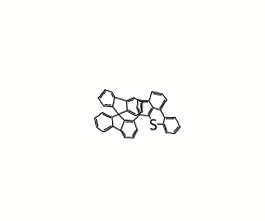 c1ccc2c(c1)Sc1c(-c3cccc4c3C3(c5ccccc5-c5ccccc53)c3ccccc3-4)ccc3cccc-2c13